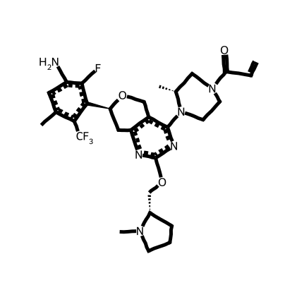 C=CC(=O)N1CCN(c2nc(OC[C@@H]3CCCN3C)nc3c2CO[C@H](c2c(F)c(N)cc(C)c2C(F)(F)F)C3)[C@H](C)C1